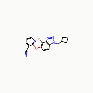 N#Cc1cccnc1Oc1ccc2c(nnn2CC2CCC2)c1Br